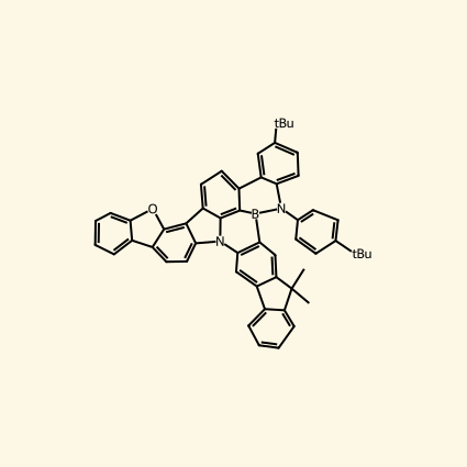 CC(C)(C)c1ccc(N2B3c4cc5c(cc4-n4c6ccc7c8ccccc8oc7c6c6ccc(c3c64)-c3cc(C(C)(C)C)ccc32)-c2ccccc2C5(C)C)cc1